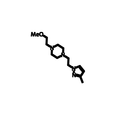 COCCN1CCN(CCn2ccc(C)n2)CC1